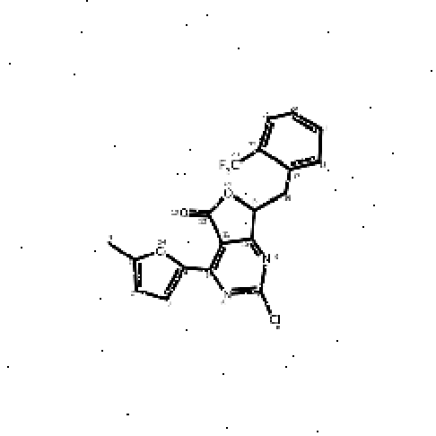 Cc1ccc(-c2nc(Cl)nc3c2C(=O)OC3Cc2ccccc2C(F)(F)F)o1